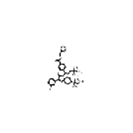 CCC(C)(C)C1CCC2(CC1)N=C(c1cccc(F)c1)C(=O)N2C(CCC(C)(C)C)c1ccc(C(=O)NCc2nn[nH]n2)cc1